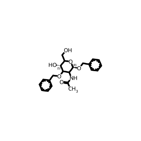 CC(=O)NC1C(OCc2ccccc2)[C@H](O)C(CO)O[C@H]1OCc1ccccc1